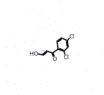 O=C(/C=C/O)c1ccc(Cl)cc1Cl